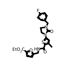 CCOC(=O)c1ccc(CNC(=O)c2sc(N3CCN(Cc4ccc(F)cc4)C3=O)cc2C)o1